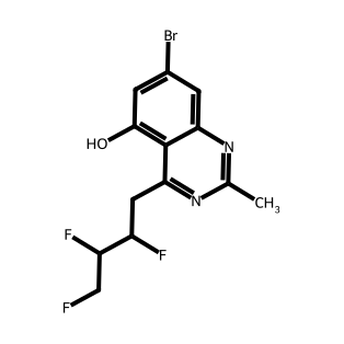 Cc1nc(CC(F)C(F)CF)c2c(O)cc(Br)cc2n1